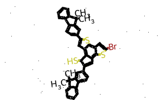 CC1(C)c2ccccc2-c2ccc(C3=Cc4c(c5cc(-c6ccc7c(c6)C(C)(C)c6ccccc6-7)sc5c5cc(Br)sc45)C3S)cc21